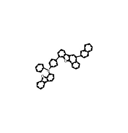 c1ccc(N(c2ccc(-c3cccc4c3oc3c5ccccc5c(-c5ccc6ccccc6c5)cc43)cc2)c2cccc3c2oc2ccccc23)cc1